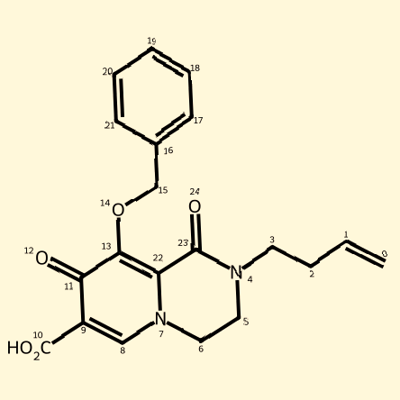 C=CCCN1CCn2cc(C(=O)O)c(=O)c(OCc3ccccc3)c2C1=O